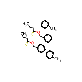 CCCC(=S)OCc1ccccc1.CCCC(=S)OCc1ccccc1.Cc1ccccc1.Cc1ccccc1